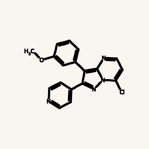 COc1cccc(-c2c(-c3ccncc3)nn3c(Cl)ccnc23)c1